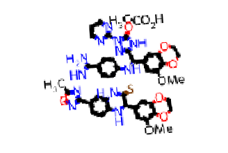 CC(=O)O.COc1cc(C(Nc2ccc(-c3noc(C)n3)cc2)C(N)=S)cc2c1OCCO2.COc1cc([C@H](Nc2ccc(C(=N)N)cc2)c2nn(-c3ncccn3)c(=O)[nH]2)cc2c1OCCO2